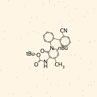 CCCCc1cc(C)c(NC(=O)OC(C)(C)C)c(=O)n1-c1ccccc1-c1ccccc1C#N